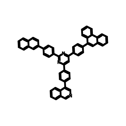 c1ccc2cc(-c3ccc(-c4nc(-c5ccc(-c6cncc7ccccc67)cc5)cc(-c5ccc(-c6cc7ccccc7c7ccccc67)cc5)n4)cc3)ccc2c1